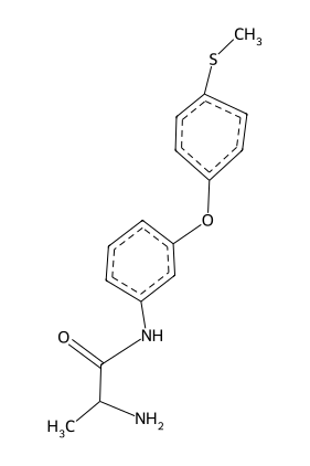 CSc1ccc(Oc2cccc(NC(=O)C(C)N)c2)cc1